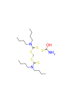 CCCCN(CCCC)C(=S)SCSC(=S)N(CCCC)CCCC.NC(O)=S